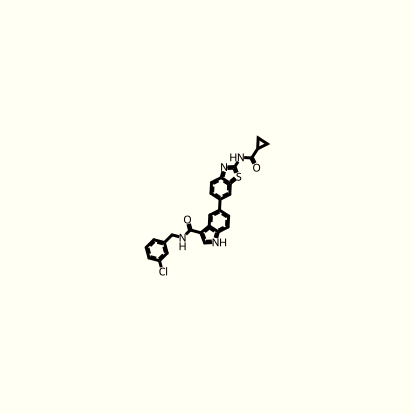 O=C(NCc1cccc(Cl)c1)c1c[nH]c2ccc(-c3ccc4nc(NC(=O)C5CC5)sc4c3)cc12